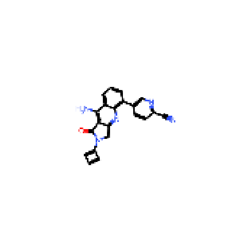 N#Cc1ccc(-c2cccc3c(N)c4c(nc23)CN(C2=CC=C2)C4=O)cn1